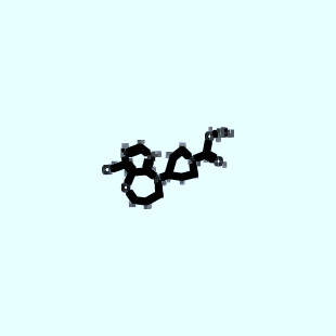 CC(C)(C)OC(=O)N1CCC(N2CCCOc3c(Cl)ncnc32)CC1